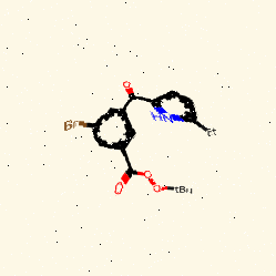 CCc1ccc(C(=O)c2cc(Br)cc(C(=O)OOC(C)(C)C)c2)[nH]1